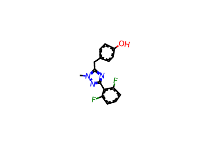 Cn1nc(-c2c(F)cccc2F)nc1Cc1ccc(O)cc1